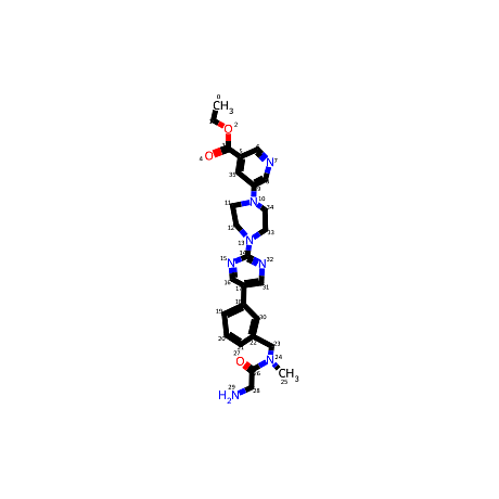 CCOC(=O)c1cncc(N2CCN(c3ncc(-c4cccc(CN(C)C(=O)CN)c4)cn3)CC2)c1